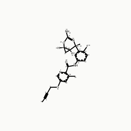 CC#CCOc1cnc(C(=O)Nc2ccc(F)c([C@@]3(C)N=C(N)O[C@H]4C[C@H]43)c2)c(C)c1